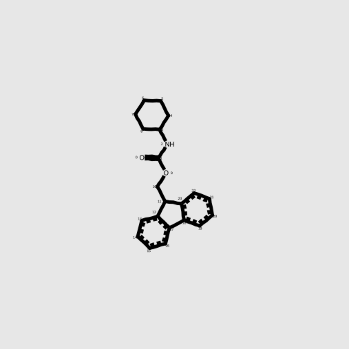 O=C(NC1CC[CH]CC1)OCC1c2ccccc2-c2ccccc21